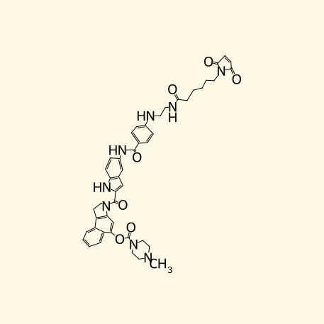 CN1CCN(C(=O)Oc2cc3c(c4ccccc24)CCN3C(=O)c2cc3cc(NC(=O)c4ccc(NCCNC(=O)CCCCCN5C(=O)C=CC5=O)cc4)ccc3[nH]2)CC1